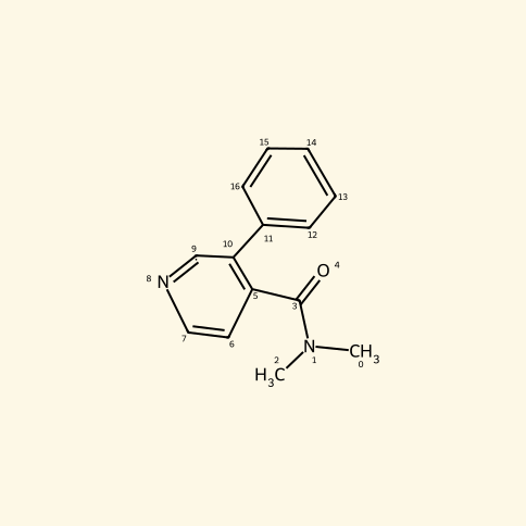 CN(C)C(=O)c1ccn[c]c1-c1ccccc1